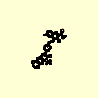 COC(=O)c1cc2ccc(C)cc2n(CCN2CCC(N(Cc3ccc4c(c3)OCCO4)C(=O)OC(C)(C)C)CC2)c1=O